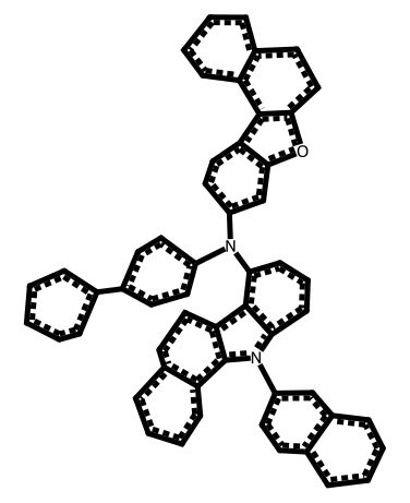 c1ccc(-c2ccc(N(c3ccc4c(c3)oc3ccc5ccccc5c34)c3cccc4c3c3ccc5ccccc5c3n4-c3ccc4ccccc4c3)cc2)cc1